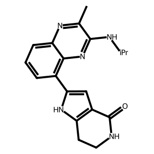 Cc1nc2cccc(-c3cc4c([nH]3)CCNC4=O)c2nc1NC(C)C